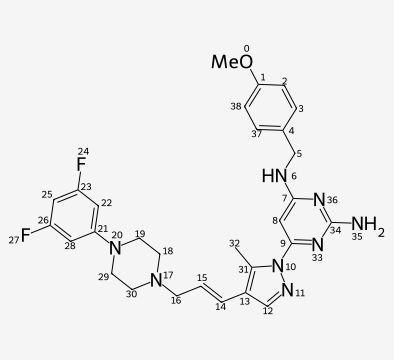 COc1ccc(CNc2cc(-n3ncc(C=CCN4CCN(c5cc(F)cc(F)c5)CC4)c3C)nc(N)n2)cc1